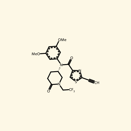 C#Cc1nc(C(=O)N(c2cc(OC)cc(OC)c2)[C@H]2CCC(=O)N(CC(F)(F)F)C2)cs1